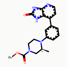 C[C@H]1CN(C(=O)OC(C)(C)C)CCN1c1cccc(-c2ccnc3[nH]c(=O)[nH]c23)c1